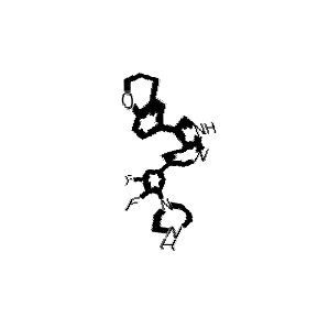 Fc1cc(-c2cnc3[nH]cc(-c4ccc5c(c4)CCCO5)c3c2)cc(N2CCNCC2)c1F